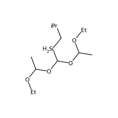 CCOC(C)OC(OC(C)OCC)[SiH2]CC(C)C